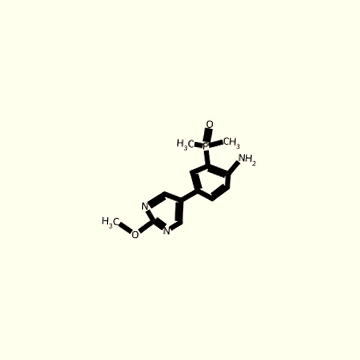 COc1ncc(-c2ccc(N)c(P(C)(C)=O)c2)cn1